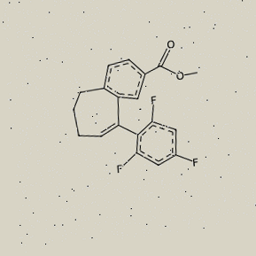 COC(=O)c1ccc2c(c1)C(c1c(F)cc(F)cc1F)=CCCC2